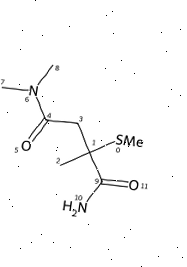 CSC(C)(CC(=O)N(C)C)C(N)=O